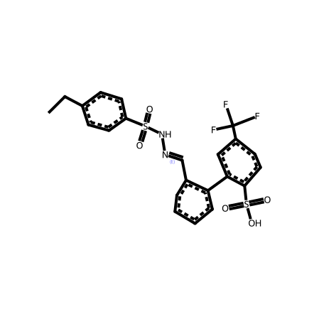 CCc1ccc(S(=O)(=O)N/N=C/c2ccccc2-c2cc(C(F)(F)F)ccc2S(=O)(=O)O)cc1